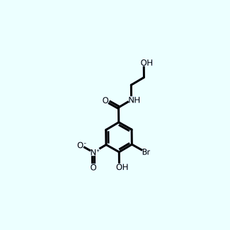 O=C(NCCO)c1cc(Br)c(O)c([N+](=O)[O-])c1